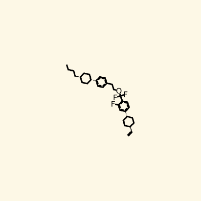 C=C[C@H]1CC[C@H](c2ccc(C(F)(F)OCCc3ccc([C@H]4CC[C@H](CCCC)CC4)cc3)c(F)c2)CC1